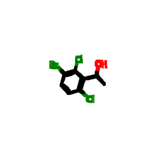 CC(O)c1c(Cl)ccc(Br)c1Cl